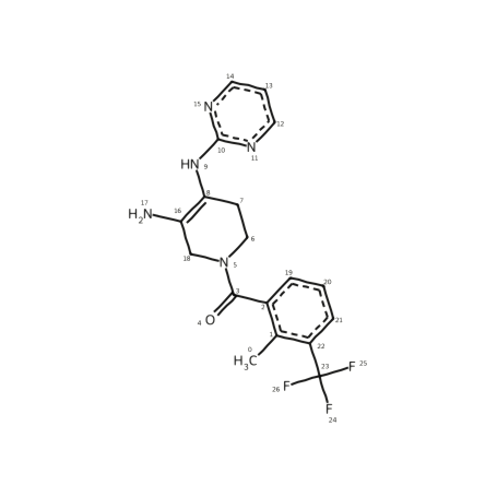 Cc1c(C(=O)N2CCC(Nc3ncccn3)=C(N)C2)cccc1C(F)(F)F